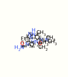 C=CC(=O)Nc1cc(Nc2ncc(CC)c(-c3cn(CC(N)=O)c4ccccc34)n2)c(C)cc1N(C)CCN(C)C